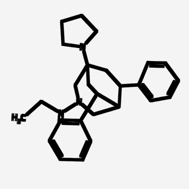 CCNN1CC2C(c3ccccc3)CC(N3CCCC3)(CC2c2ccccc2)C1